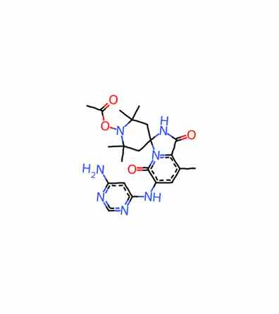 CC(=O)ON1C(C)(C)CC2(CC1(C)C)NC(=O)c1c(C)cc(Nc3cc(N)ncn3)c(=O)n12